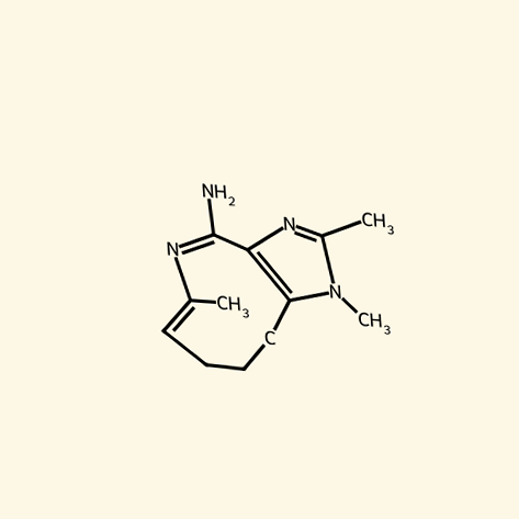 CC1=C\CCCc2c(nc(C)n2C)/C(N)=N\1